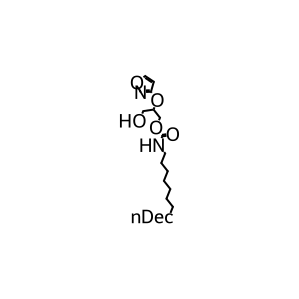 CCCCCCCCCCCCCCCCCNC(=O)OCC(CO)Oc1ccon1